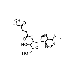 Nc1ncnc2c1ncn2[C@@H]1O[C@H](CO)C(O)[C@H]1OC(=O)CCC(=O)NO